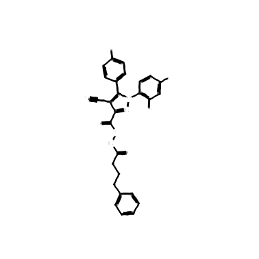 N#Cc1c(C(=O)NNC(=O)CCCc2ccccc2)nn(-c2ccc(Cl)cc2Cl)c1-c1ccc(Cl)cc1